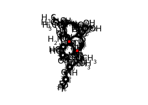 CN[C@@H](CC(C)C)C(=O)N[C@H]1C(=O)N[C@@H](CC(N)=O)C(=O)NC2C(=O)N[C@@H]3C(=O)N[C@@H](C(=O)N[C@@H](C(=O)O)c4cc(O)cc(O)c4-c4cc3ccc4O)[C@@H](O[C@@H]3CC(C)(NCc4cccc(NC(=O)c5ccc(OC(F)(F)F)cc5)c4)[C@H](O)[C@H](C)O3)c3ccc(c(Cl)c3)Oc3cc2cc(c3OC2OC(CO)[C@@H](O)[C@@H](O)[C@H]2O)Oc2ccc(cc2Cl)[C@H]1O